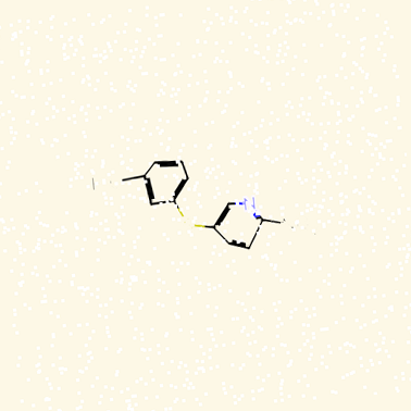 O=[N+]([O-])c1ccc(Sc2cccc(C(F)(F)F)c2)cn1